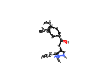 COc1ccc(C(=O)Cc2cn[nH]c2C(=O)O)cc1OC